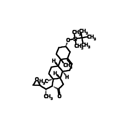 C[C@H](C1CO1)[C@H]1C(=O)C[C@H]2[C@@H]3CC=C4C[C@@H](O[Si](C)(C)C(C)(C)C)CCC4(C)[C@H]3CC[C@]12C